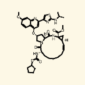 COC(=O)[C@@]12C[C@H]1/C=C\CCCCC[C@H](NC(=O)OC1CCCC1)C(=O)N1C[C@H](Oc3cc(-c4csc(NC(C)C)n4)nc4cc(OC)ccc34)C[C@H]1C(=O)N2